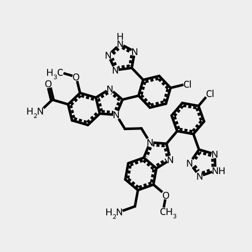 COc1c(CN)ccc2c1nc(-c1ccc(Cl)cc1-c1nn[nH]n1)n2CCn1c(-c2ccc(Cl)cc2-c2nn[nH]n2)nc2c(OC)c(C(N)=O)ccc21